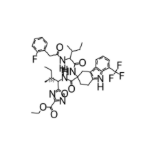 CCOC(=O)c1noc(C(NC(=O)C2(NC(=O)C(NC(=O)Cc3ccccc3F)C(C)CC)CCc3[nH]c4c(C(F)(F)F)cccc4c3C2)[C@@H](C)CC)n1